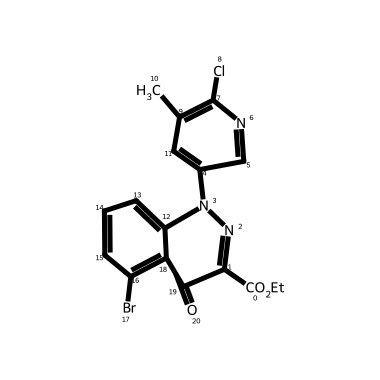 CCOC(=O)c1nn(-c2cnc(Cl)c(C)c2)c2cccc(Br)c2c1=O